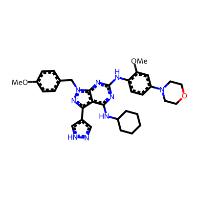 COc1ccc(Cn2nc(-c3cn[nH]c3)c3c(NC4CCCCC4)nc(Nc4ccc(N5CCOCC5)cc4OC)nc32)cc1